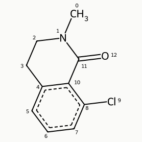 CN1CCc2cccc(Cl)c2C1=O